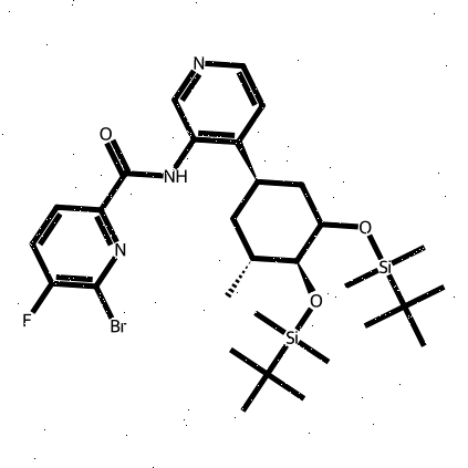 C[C@@H]1C[C@@H](c2ccncc2NC(=O)c2ccc(F)c(Br)n2)CC(O[Si](C)(C)C(C)(C)C)[C@H]1O[Si](C)(C)C(C)(C)C